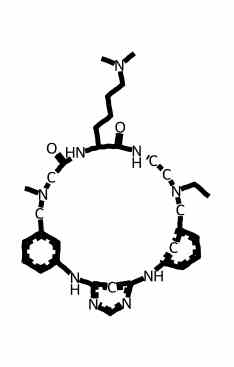 CCN1CCNC(=O)C(CCCCN(C)C)NC(=O)CN(C)Cc2cccc(c2)Nc2cc(ncn2)Nc2cccc(c2)C1